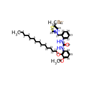 CCCCCCCCCCCCCCOc1c(NC(=O)Nc2ccccc2C[n+]2csc(C)c2)cccc1OC.[Br-]